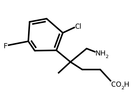 CC(CN)(CCC(=O)O)c1cc(F)ccc1Cl